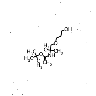 C=C(NC(C)(C)COCCCO)OC(C)(C)C